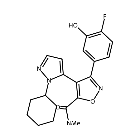 CNC(=O)c1onc(-c2ccc(F)c(O)c2)c1-c1ccnn1C1CCCCC1